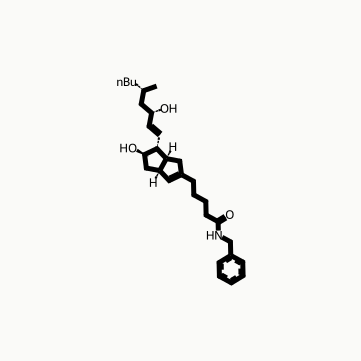 CCCC[C@H](C)C[C@H](O)/C=C/[C@@H]1[C@H]2CC(CCCCC(=O)NCc3ccccc3)=C[C@H]2C[C@H]1O